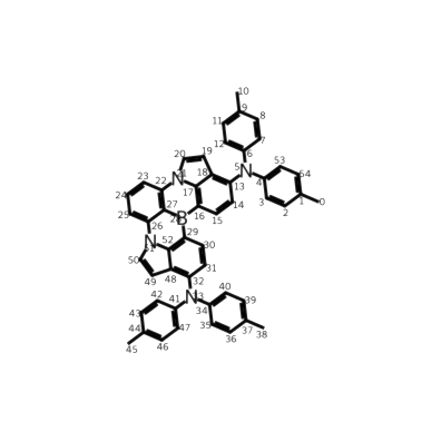 Cc1ccc(N(c2ccc(C)cc2)c2ccc3c4c2ccn4-c2cccc4c2B3c2ccc(N(c3ccc(C)cc3)c3ccc(C)cc3)c3ccn-4c23)cc1